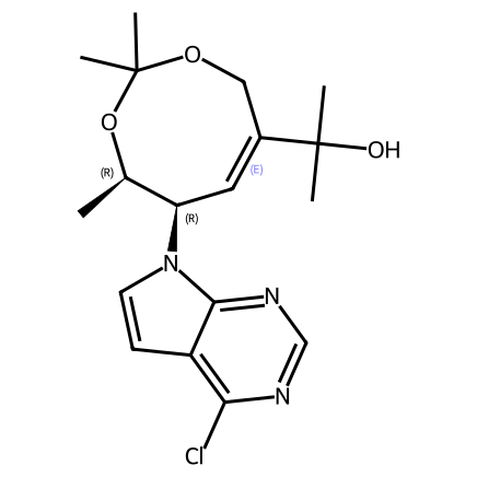 C[C@H]1OC(C)(C)OC/C(C(C)(C)O)=C\[C@H]1n1ccc2c(Cl)ncnc21